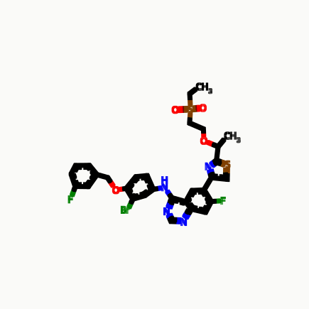 CCS(=O)(=O)CCOC(C)c1nc(-c2cc3c(Nc4ccc(OCc5cccc(F)c5)c(Br)c4)ncnc3cc2F)cs1